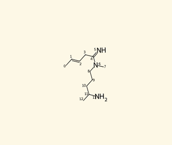 C/C=C/CC(=N)N(C)CCCC(C)N